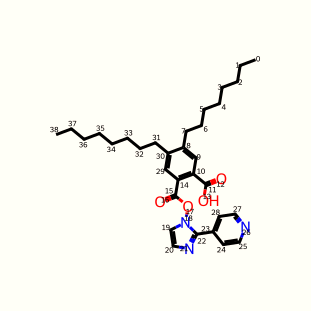 CCCCCCCCc1cc(C(=O)O)c(C(=O)On2ccnc2-c2ccncc2)cc1CCCCCCCC